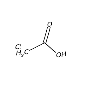 CC(=O)O.[C]